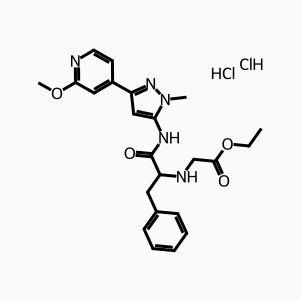 CCOC(=O)CNC(Cc1ccccc1)C(=O)Nc1cc(-c2ccnc(OC)c2)nn1C.Cl.Cl